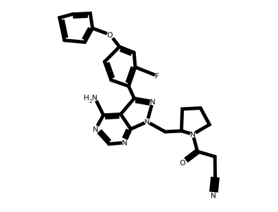 N#CCC(=O)N1CCCC1Cn1nc(-c2ccc(Oc3ccccc3)cc2F)c2c(N)ncnc21